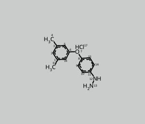 Cc1cc(C)cc(Oc2ccc(NN)cc2)c1.Cl